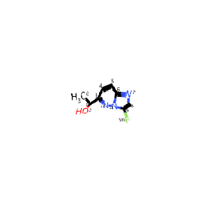 CC(O)c1ccc2ncc(F)n2n1